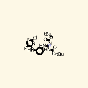 CC(C)(C)OC(=O)/N=C(/NC(=O)OC(C)(C)C)N[C@@H]1CCCC(Nc2nc(Cl)ncc2F)C1